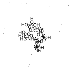 CC(=O)NC1C(OCCCCC(=O)N2C[C@H](C)C[C@H]2COP(=O)(O)O[C@@H]2C[C@@H](COP(=O)(O)OC(C)C)N(C(=O)CCCCOC3OC(CO)C(O)C(O)C3NC(C)=O)C2)OC(CO)C(O)C1O